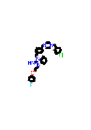 N=c1n(CCCOc2ccc(F)cc2)c2ccccc2n1Cc1ccc(CN2CCN(Cc3ccc(Cl)cc3)CC2)cc1